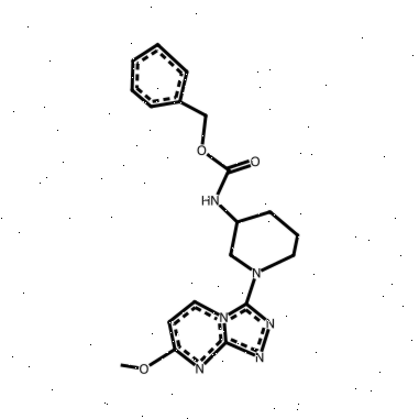 COc1ccn2c(N3CCCC(NC(=O)OCc4ccccc4)C3)nnc2n1